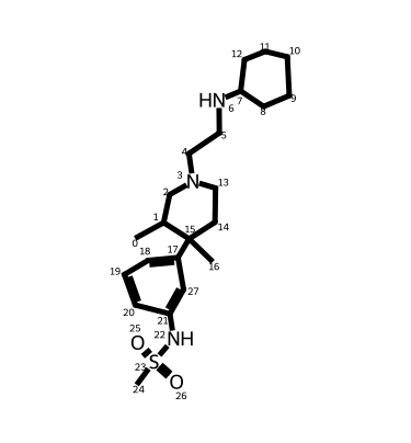 CC1CN(CCNC2CCCCC2)CCC1(C)c1cccc(NS(C)(=O)=O)c1